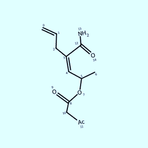 C=CCC(=CC(C)OC(=O)CC(C)=O)C(N)=O